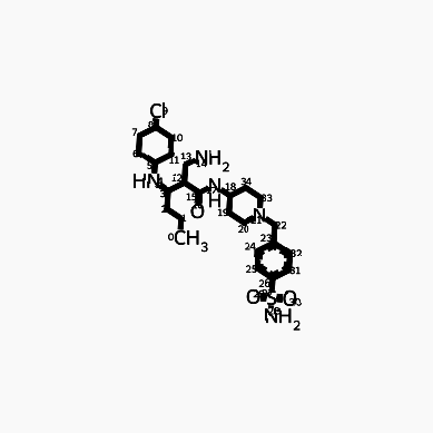 CCCC(NC1CCC(Cl)CC1)C(CN)C(=O)NC1CCN(Cc2ccc(S(N)(=O)=O)cc2)CC1